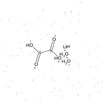 O.O.O=C(O)C(=O)O.[LiH]